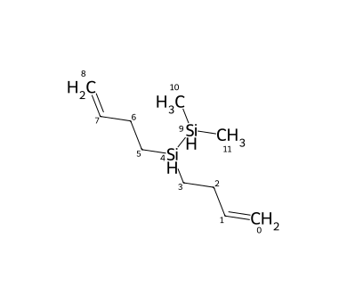 C=CCC[SiH](CCC=C)[SiH](C)C